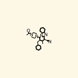 CC(=O)N1CCN(c2c(Cc3ccccc3)c(C)c(C#N)c3nc4ccccc4n23)CC1